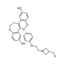 Oc1ccc2c(c1)C1=C(c3cc(O)ccc3OCC1)[C@@H](c1ccc(OCCN3CC(CF)C3)cc1)O2